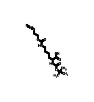 CC(C)(C)OC(=O)NC(CCCCNC(=O)OCCN=[N+]=[N-])C(=O)O